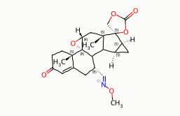 CO/N=C/[C@@H]1CC2=CC(=O)CC[C@]2(C)[C@@]23O[C@@H]2C[C@@]2(C)C(C13)[C@@H]1C[C@@H]1[C@@]21COC(=O)O1